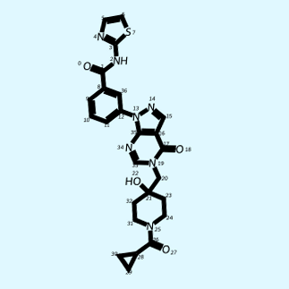 O=C(Nc1nccs1)c1cccc(-n2ncc3c(=O)n(CC4(O)CCN(C(=O)C5CC5)CC4)cnc32)c1